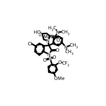 COc1ccc(S(=O)(=O)N2C(=O)C(c3cc(N(C)C)ccc3OC)(N3C[C@H](O)C[C@H]3C(=O)N(C)C)c3cc(Cl)ccc32)c(OC(F)(F)F)c1